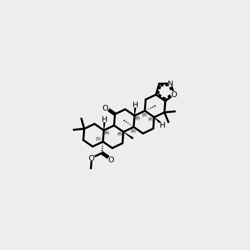 COC(=O)[C@]12CCC(C)(C)C[C@@H]1C1C(=O)C[C@@H]3[C@@]4(C)Cc5cnoc5C(C)(C)[C@@H]4CC[C@@]3(C)[C@]1(C)CC2